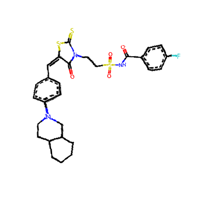 O=C(NS(=O)(=O)CCN1C(=O)C(=Cc2ccc(N3CCC4CCCCC4C3)cc2)SC1=S)c1ccc(F)cc1